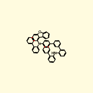 c1ccc(-c2ccccc2Nc2ccccc2-c2cccc(-c3ccc(N(c4ccccc4-c4ccccc4)c4cccc5oc6ccccc6c45)cc3)c2)cc1